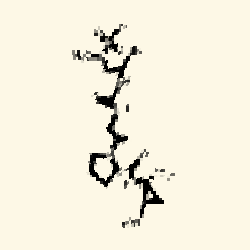 CCCCCCCCC1C[C@]1(NC(=O)[C@@H]1CCCN1C(=O)CNC(=O)NC(CN(C)S(=O)(=O)C(C)C)C(C)(C)C)C(=O)O